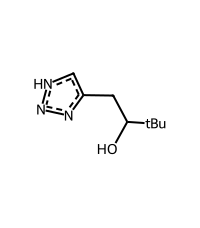 CC(C)(C)C(O)Cc1c[nH]nn1